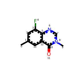 Cc1cc(F)c2ncn(C)c(=O)c2c1